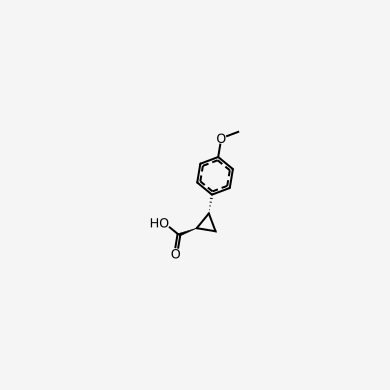 COc1ccc([C@@H]2C[C@H]2C(=O)O)cc1